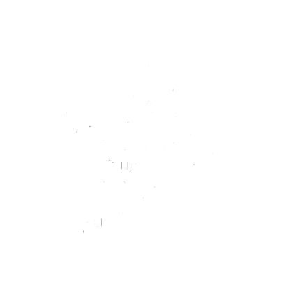 CCCCC1=Cc2c(-c3ccccc3)cccc2[CH]1[Hf+2]1([CH]2C(CCCC)=Cc3c(-c4ccccc4)cccc32)[CH2]C[CH2]1.[Cl-].[Cl-]